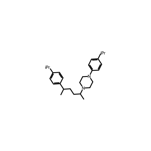 CC(C)c1ccc(C(C)CCC(C)N2CCN(c3ccc(C(C)C)cc3)CC2)cc1